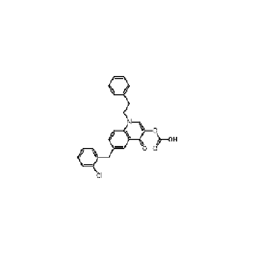 O=C(O)Oc1cn(CCc2ccccc2)c2ccc(Cc3ccccc3Cl)cc2c1=O